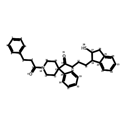 O=C(CCc1ccccc1)N1CCC(C(=O)CCCC2c3ccccc3CC2S)(c2ccccc2)CC1